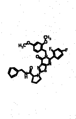 COc1ccc(Cn2c(-c3ccc(F)cc3F)nc3sc(N4CCCC4C(=O)NCc4ccccc4)nc3c2=O)c(OC)c1